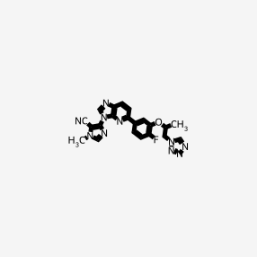 CC(Cn1cnnn1)Oc1cc(-c2ccc3ncn(-c4ncn(C)c4C#N)c3n2)ccc1F